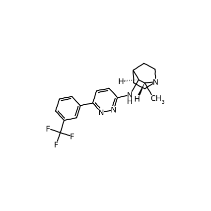 C[C@@H]1[C@@H](Nc2ccc(-c3cccc(C(F)(F)F)c3)nn2)C2CCN1CC2